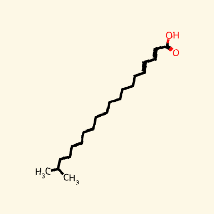 CC(C)CCCCCCCCCCCCCC=CC=CC(=O)O